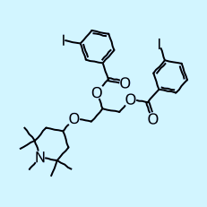 CN1C(C)(C)CC(OCC(COC(=O)c2cccc(I)c2)OC(=O)c2cccc(I)c2)CC1(C)C